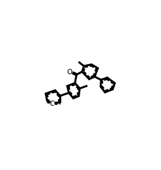 Cc1ccc(-c2ccccc2)cc1C(=O)c1cc(-c2ccccc2)ccc1C